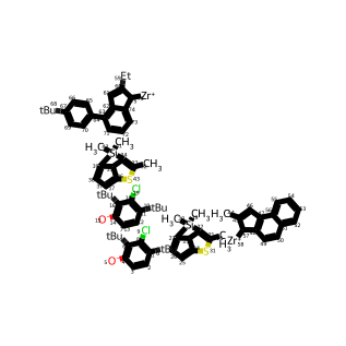 CC(C)(C)c1ccc([O-])c(C(C)(C)C)c1Cl.CC(C)(C)c1ccc([O-])c(C(C)(C)C)c1Cl.CC1=C2C3C(=CC=C3[Si]2(C)C)S1.CC1=C2C3C(=CC=C3[Si]2(C)C)S1.CC1=Cc2c(ccc3ccccc23)[CH]1[Zr+].CCC1=Cc2c(-c3ccc(C(C)(C)C)cc3)cccc2[CH]1[Zr+]